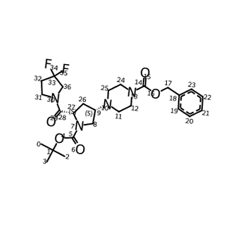 CC(C)(C)OC(=O)N1C[C@@H](N2CCN(C(=O)OCc3ccccc3)CC2)C[C@H]1C(=O)N1CCC(F)(F)C1